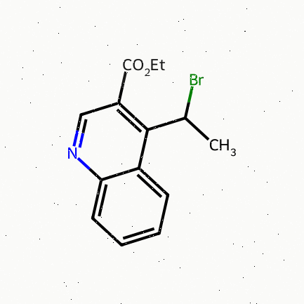 CCOC(=O)c1cnc2ccccc2c1C(C)Br